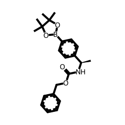 C[C@@H](NC(=O)OCc1ccccc1)c1ccc(B2OC(C)(C)C(C)(C)O2)cc1